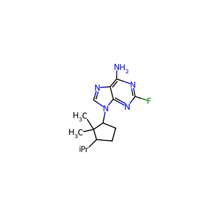 CC(C)C1CCC(n2cnc3c(N)nc(F)nc32)C1(C)C